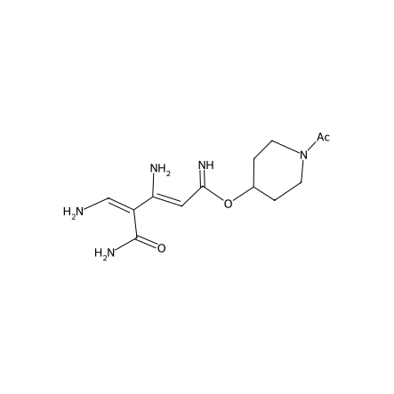 CC(=O)N1CCC(OC(=N)/C=C(N)/C(=C/N)C(N)=O)CC1